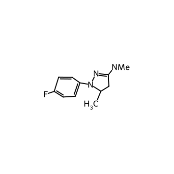 CNC1=NN(c2ccc(F)cc2)C(C)C1